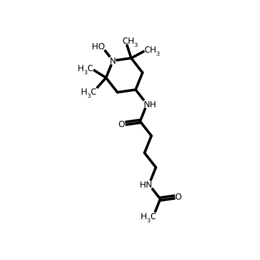 CC(=O)NCCCC(=O)NC1CC(C)(C)N(O)C(C)(C)C1